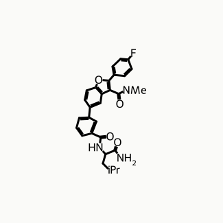 CNC(=O)c1c(-c2ccc(F)cc2)oc2ccc(-c3cccc(C(=O)NC(CC(C)C)C(N)=O)c3)cc12